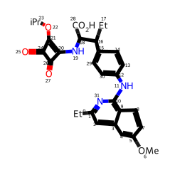 CCc1cc2cc(OC)ccc2c(Nc2ccc(C(CC)C(Nc3c(OC(C)C)c(=O)c3=O)C(=O)O)cc2)n1